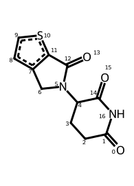 O=C1CCC(N2Cc3ccsc3C2=O)C(=O)N1